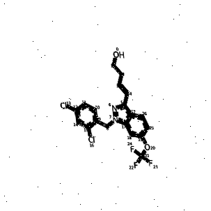 OCC/C=C/c1nn(Cc2ccc(Cl)cc2Cl)c2cc(OC(F)(F)F)ccc12